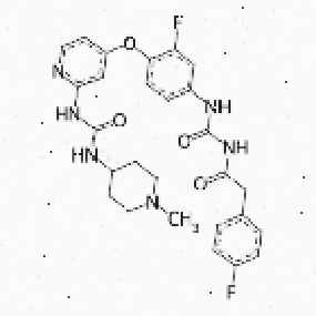 CN1CCC(NC(=O)Nc2cc(Oc3ccc(NC(=O)NC(=O)Cc4ccc(F)cc4)cc3F)ccn2)CC1